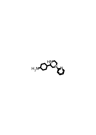 NC1CCC(C2CN(c3ccccn3)CCN2)CC1